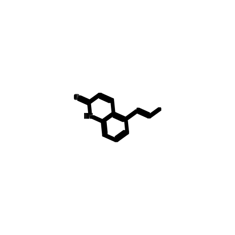 CC=Cc1cccc2[nH]c(=O)ccc12